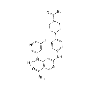 CCC(=O)N1CCC(c2ccc(Nc3cc(N(C)c4cncc(F)c4)c(C(N)=O)cn3)cc2)CC1